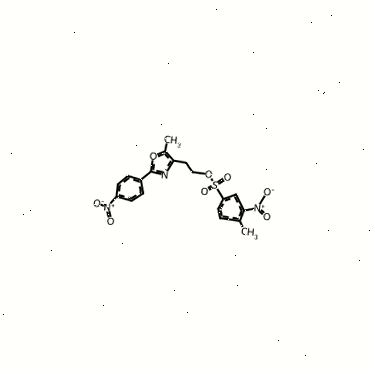 Cc1ccc(S(=O)(=O)OCCc2nc(-c3ccc([N+](=O)[O-])cc3)oc2C)cc1[N+](=O)[O-]